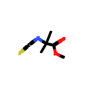 COC(=O)C(C)(C)N=C=S